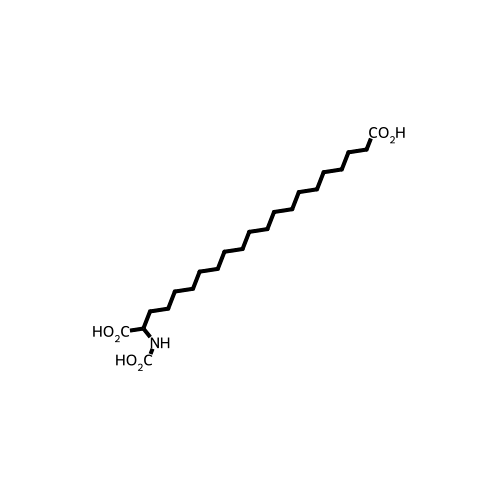 O=C(O)CCCCCCCCCCCCCCCCCCC(NC(=O)O)C(=O)O